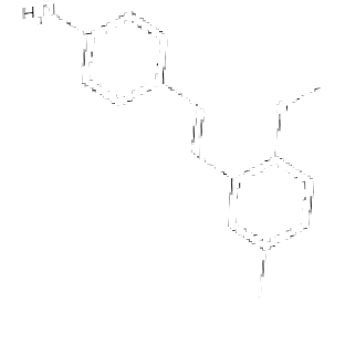 COc1ccc(C)cc1/N=N/c1ccc(N)cc1